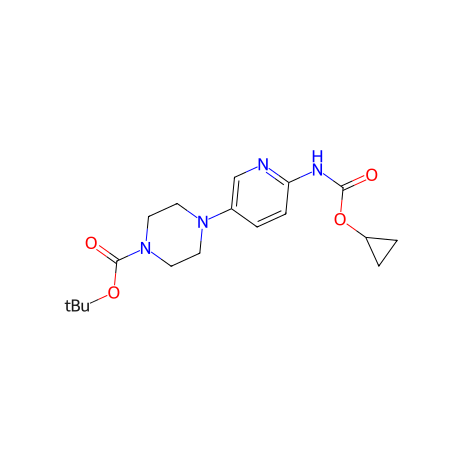 CC(C)(C)OC(=O)N1CCN(c2ccc(NC(=O)OC3CC3)nc2)CC1